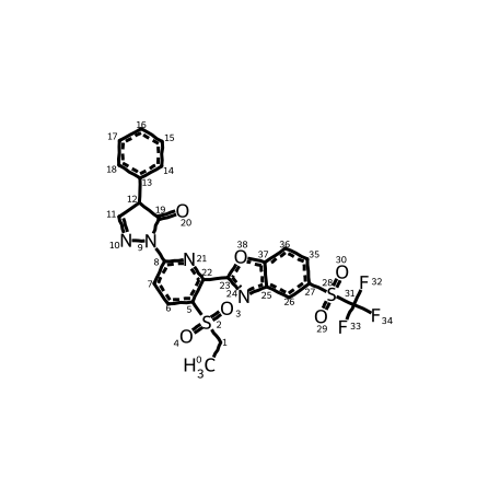 CCS(=O)(=O)c1ccc(N2N=CC(c3ccccc3)C2=O)nc1-c1nc2cc(S(=O)(=O)C(F)(F)F)ccc2o1